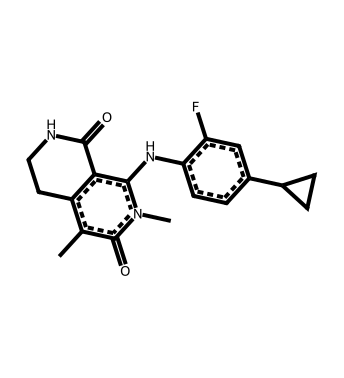 Cc1c2c(c(Nc3ccc(C4CC4)cc3F)n(C)c1=O)C(=O)NCC2